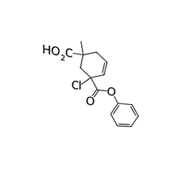 CC1(C(=O)O)CC=CC(Cl)(C(=O)Oc2ccccc2)C1